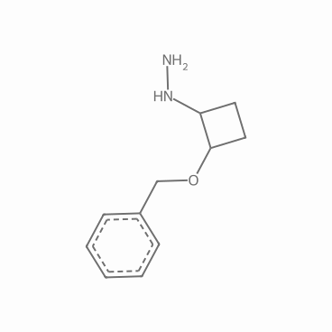 NNC1CCC1OCc1ccccc1